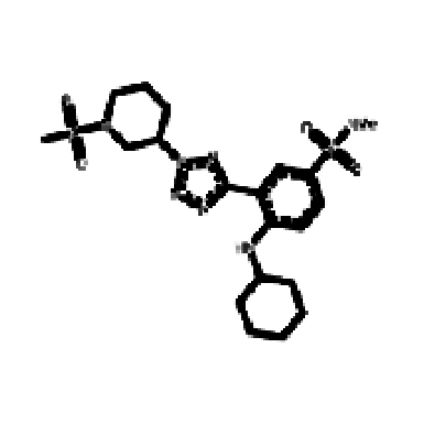 CNS(=O)(=O)c1ccc(NC2CCCCC2)c(-c2nnn(C3CCCN(S(C)(=O)=O)C3)n2)c1